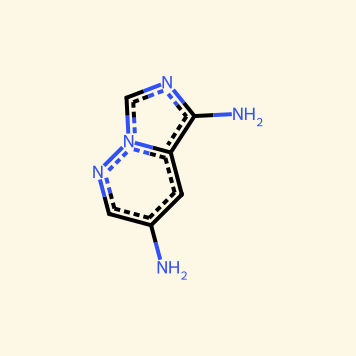 Nc1cnn2cnc(N)c2c1